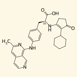 Cc1cc2ccncc2c(Nc2ccc(C[C@H](NC3=C(C4CCCCC4)C(=O)CC3)C(=O)O)cc2)n1